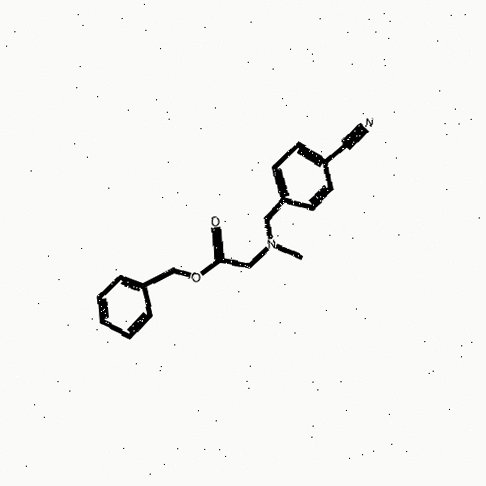 CN(CC(=O)OCc1ccccc1)Cc1ccc(C#N)cc1